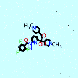 CN1CCC(C2OC2C(O)(c2cccc(NC(=O)c3c(F)cc(F)cc3F)n2)C2CCN(C)CC2)CC1